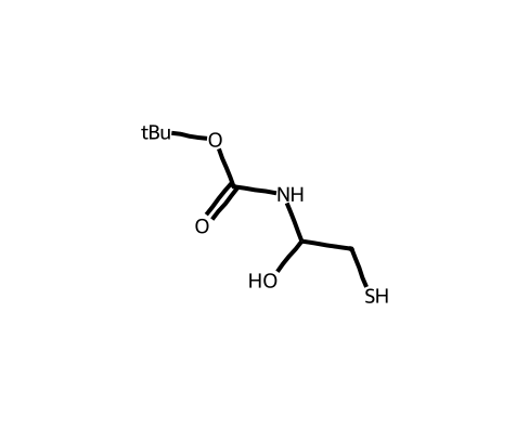 CC(C)(C)OC(=O)NC(O)CS